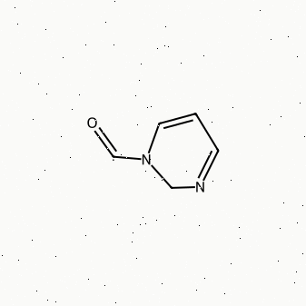 O=[C]N1C=CC=NC1